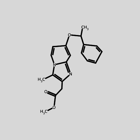 COC(=O)Cc1nc2cc(OC(C)c3ccccc3)ccn2c1C